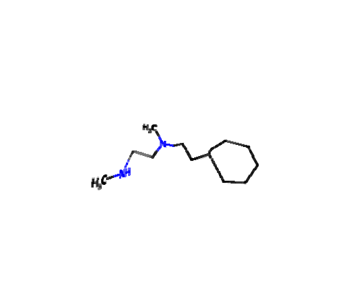 CNCCN(C)CCC1CCCCC1